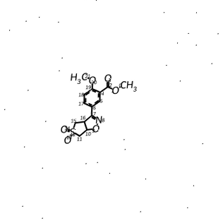 COC(=O)c1cc(C2=NOC3CS(=O)(=O)CC23)ccc1OC